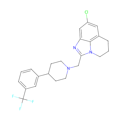 FC(F)(F)c1cccc(C2CCN(Cc3nc4cc(Cl)cc5c4n3CCC5)CC2)c1